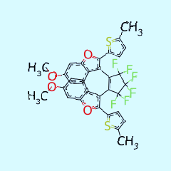 COc1ccc2c(C3=C(c4c(-c5ccc(C)s5)oc5cc(OC)ccc45)C(F)(F)C(F)(F)C3(F)F)c(-c3ccc(C)s3)oc2c1